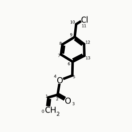 C=CC(=O)OCc1ccc(CCl)cc1